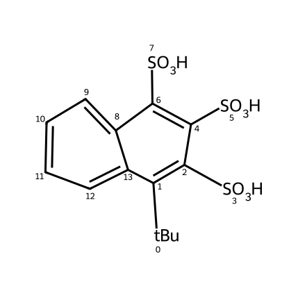 CC(C)(C)c1c(S(=O)(=O)O)c(S(=O)(=O)O)c(S(=O)(=O)O)c2ccccc12